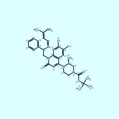 C/C(N)=C/C=N\C(Cn1c(=O)nc(N2CCN(C(=O)OC(C)(C)C)C[C@@H]2C)c2cc(F)c(Cl)nc21)c1ccccc1